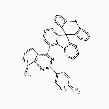 C=C/C=C\C(=C/C)c1nc(C=C)c(/C=C\C)c(-c2cccc3c2-c2ccccc2C32c3ccccc3Sc3ccccc32)n1